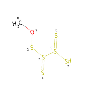 COSS(=S)S(=S)S